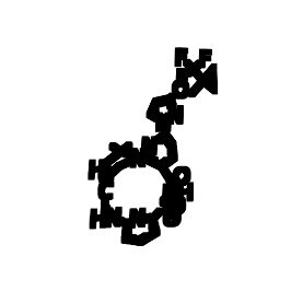 CC1(C)C[C@H]2CCNc3cccc(n3)S(=O)(=O)NC(=O)c3ccc(-n4ccc(OCC5(C(F)(F)F)CC5)n4)nc3N1C2